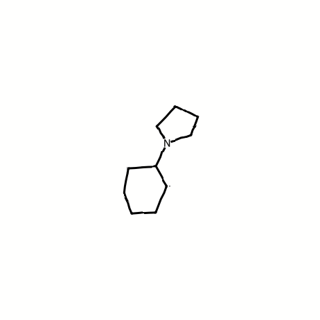 [CH]1CCCCC1N1CCCC1